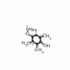 CCCCCCOc1cc(C)c(O)c(C)c1C